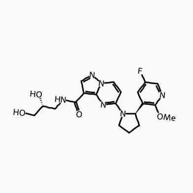 COc1ncc(F)cc1[C@H]1CCCN1c1ccn2ncc(C(=O)NC[C@@H](O)CO)c2n1